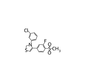 CS(=O)(=O)c1ccc(C2=CSCN2c2cccc(Cl)c2)cc1F